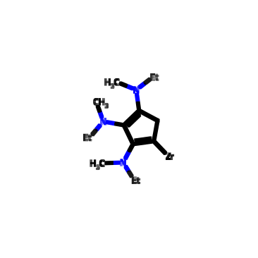 CCN(C)C1=C(N(C)CC)C(N(C)CC)=[C]([Zr])C1